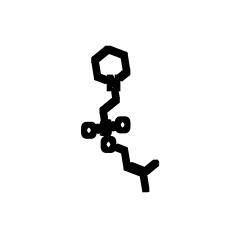 CC(C)=CCOS(=O)(=O)CCN1CCCCC1